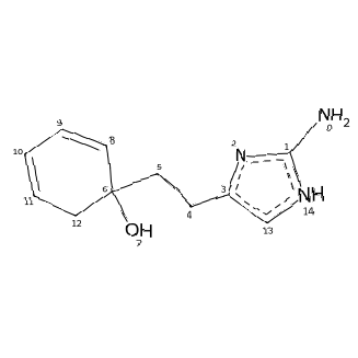 Nc1nc(CCC2(O)C=CC=CC2)c[nH]1